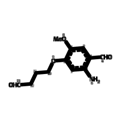 COc1cc(C=O)c(N)cc1OCCCC=O